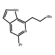 CC(C)c1cc2cc[nH]c2c(CCC(C)(C)C)n1